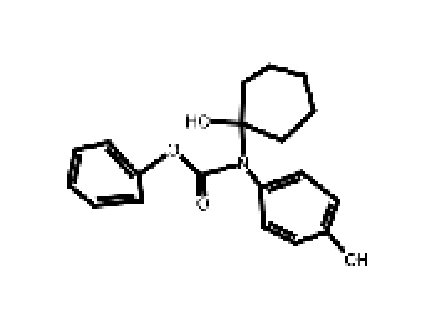 O=C(Oc1ccccc1)N(c1ccc(O)cc1)C1(O)CCCCC1